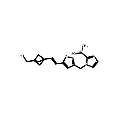 C[C@H](O)c1nccn1Cc1cc(C=CC23CC(CO)(C2)C3)on1